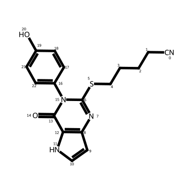 N#CCCCCSc1nc2cc[nH]c2c(=O)n1-c1ccc(O)cc1